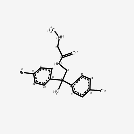 CNCC(=O)NCC(O)(c1ccc(Cl)cc1)c1ccc(Br)cc1